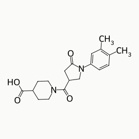 Cc1ccc(N2CC(C(=O)N3CCC(C(=O)O)CC3)CC2=O)cc1C